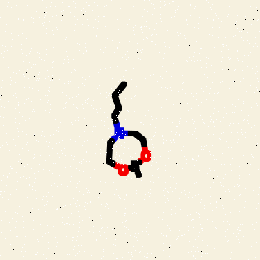 CCCCN1CCOB(C)OCC1